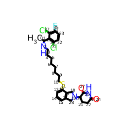 CC(NCCCCCCCCSc1cccc2c1CN(C1CCC(=O)NC1=O)C2)c1c(Cl)ccc(F)c1Cl